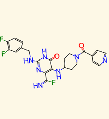 N=C(F)c1nc(NCc2ccc(F)c(F)c2)[nH]c(=O)c1NC1CCN(C(=O)c2ccncc2)CC1